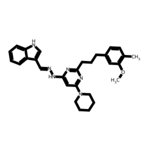 COc1cc(CCCc2nc(N/N=C/c3c[nH]c4ccccc34)cc(N3CCCCC3)n2)ccc1C